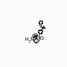 NC(=O)[C@]12[CH]CCCN1C(=O)N(c1ccc(C3(CN4CCCC4)CC3)cc1)C2=O